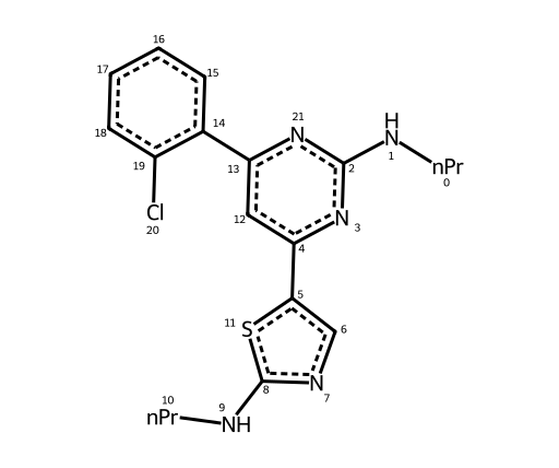 CCCNc1nc(-c2cnc(NCCC)s2)cc(-c2ccccc2Cl)n1